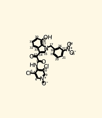 O=C(Nc1c(Cl)c[n+]([O-])cc1Cl)C(=O)c1cn(Cc2cccc([N+](=O)[O-])c2)c2c(O)cccc12